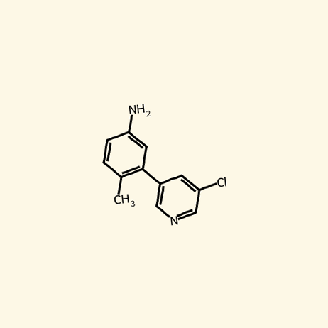 Cc1ccc(N)cc1-c1cncc(Cl)c1